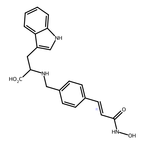 O=C(/C=C/c1ccc(CNC(Cc2c[nH]c3ccccc23)C(=O)O)cc1)NO